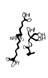 C=C(C)C(=O)OCC(CO)(CO)CO.O=C(O)CCCCCCCCCCC(=O)O.[MgH2]